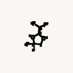 CC1(F)COC(=C(F)F)O1